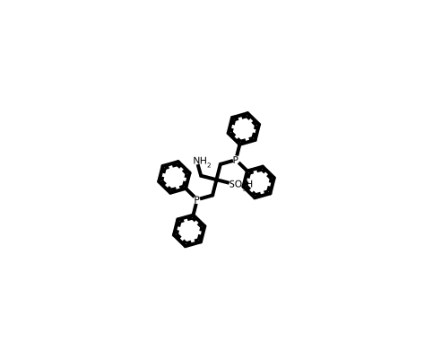 NCC(CP(c1ccccc1)c1ccccc1)(CP(c1ccccc1)c1ccccc1)S(=O)(=O)O